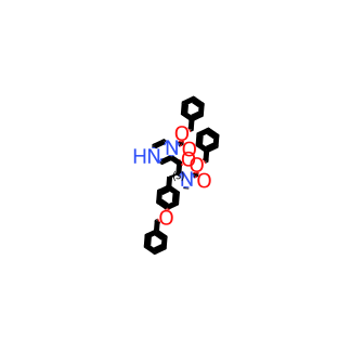 CN(C(=O)OCc1ccccc1)[C@@H](Cc1ccc(OCc2ccccc2)cc1)C(=O)C1CNCCN1C(=O)OCc1ccccc1